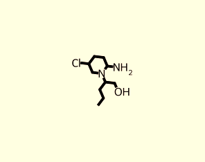 CCCC(CO)N1CC(Cl)CCC1N